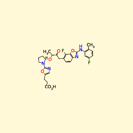 Cc1ccc(F)cc1Nc1nc2ccc(CC(=O)C(C)O[C@H]3CCCN3c3ncc(CCC(=O)O)o3)c(F)c2o1